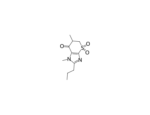 CCCc1nc2c(n1C)C(=O)C(C)CS2(=O)=O